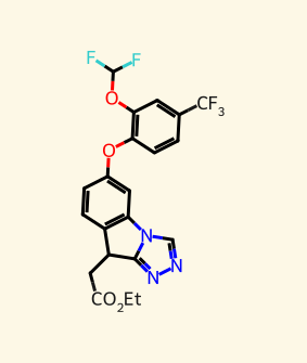 CCOC(=O)CC1c2ccc(Oc3ccc(C(F)(F)F)cc3OC(F)F)cc2-n2cnnc21